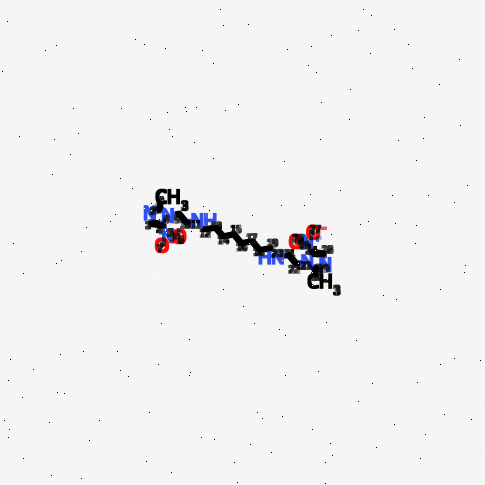 Cc1ncc([N+](=O)[O-])n1CCNCCCCCCCCNCCn1c([N+](=O)[O-])cnc1C